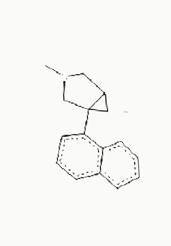 CN1CC2CC2(c2cccc3ccccc23)C1.Cl